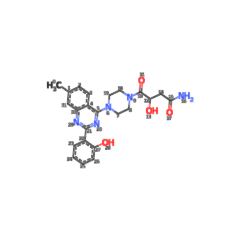 Cc1ccc2c(N3CCN(C(=O)C(O)CC(N)=O)CC3)nc(-c3ccccc3O)nc2c1